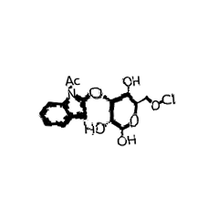 CC(=O)n1c(O[C@@H]2[C@@H](O)[C@H](O)O[C@H](COCl)[C@@H]2O)cc2ccccc21